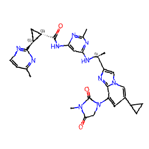 Cc1ccnc([C@H]2C[C@@H]2C(=O)Nc2cc(N[C@@H](C)c3cn4cc(C5CC5)cc(N5CC(=O)N(C)C5=O)c4n3)nc(C)n2)n1